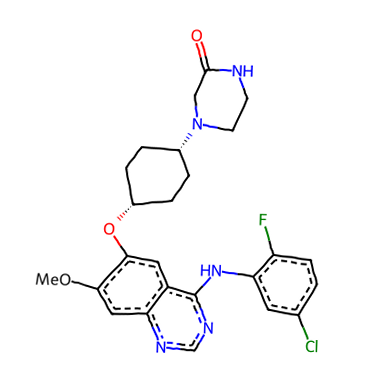 COc1cc2ncnc(Nc3cc(Cl)ccc3F)c2cc1O[C@H]1CC[C@@H](N2CCNC(=O)C2)CC1